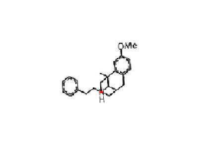 COc1ccc2c(c1)C1(C)CCCC(C2)C1NCCc1ccccc1